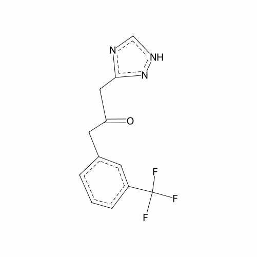 O=C(Cc1cccc(C(F)(F)F)c1)Cc1nc[nH]n1